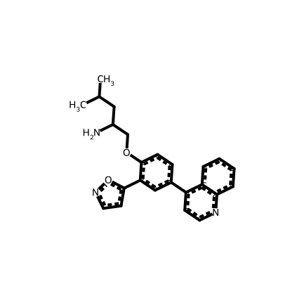 CC(C)CC(N)COc1ccc(-c2ccnc3ccccc23)cc1-c1ccno1